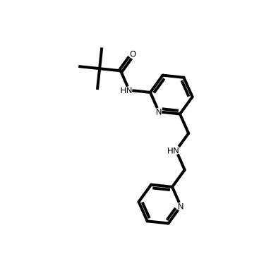 CC(C)(C)C(=O)Nc1cccc(CNCc2ccccn2)n1